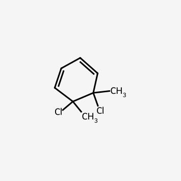 CC1(Cl)C=CC=CC1(C)Cl